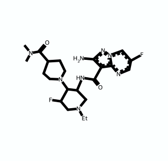 CCN1CC(F)C(N2CCC(C(=O)N(C)C)CC2)C(NC(=O)c2c(N)nn3cc(F)cnc23)C1